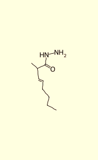 CCCCC=CC(C)C(=O)NN